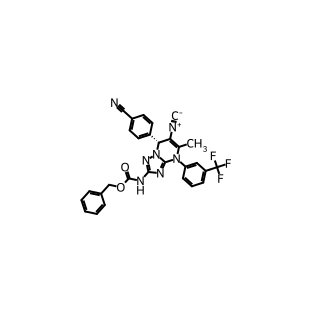 [C-]#[N+]C1=C(C)N(c2cccc(C(F)(F)F)c2)c2nc(NC(=O)OCc3ccccc3)nn2[C@@H]1c1ccc(C#N)cc1